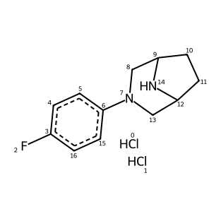 Cl.Cl.Fc1ccc(N2CC3CCC(C2)N3)cc1